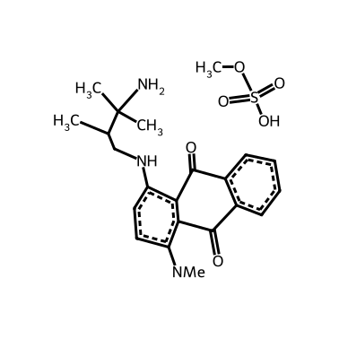 CNc1ccc(NCC(C)C(C)(C)N)c2c1C(=O)c1ccccc1C2=O.COS(=O)(=O)O